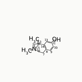 CN1C[C@]2(C)CC1Cc1ccc(O)cc12